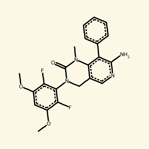 COc1cc(OC)c(F)c(N2Cc3cnc(N)c(-c4ccccc4)c3N(C)C2=O)c1F